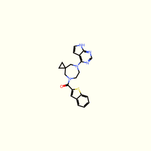 O=C(c1cc2ccccc2s1)N1CCN(c2ncnc3[nH]ccc23)CC2(CC2)C1